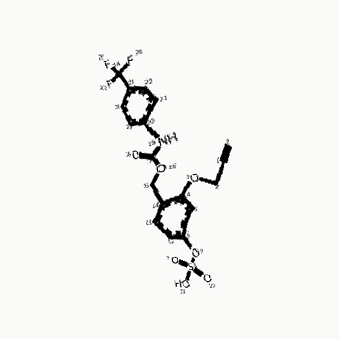 C#CCOc1cc(OS(=O)(=O)O)ccc1COC(=O)Nc1ccc(C(F)(F)F)cc1